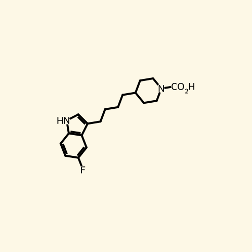 O=C(O)N1CCC(CCCCc2c[nH]c3ccc(F)cc23)CC1